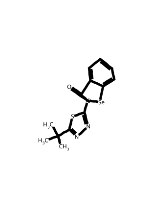 CC(C)(C)c1nnc(-n2[se]c3ccccc3c2=O)s1